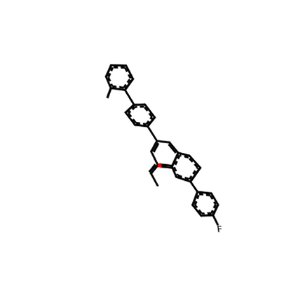 C=c1cc(-c2ccc(F)cc2)cc/c1=C/C(=C\C=C\C)c1ccc(-c2ccccc2C)cc1